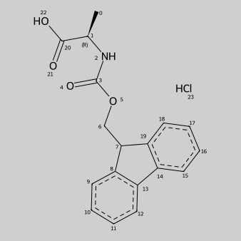 C[C@@H](NC(=O)OCC1c2ccccc2-c2ccccc21)C(=O)O.Cl